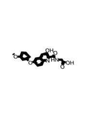 COc1cccc(Oc2ccc3nc(C(=O)NCC(=O)O)c(O)cc3c2)c1